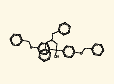 OC(CN(Cc1ccccc1)Cc1ccccc1)(c1ccc(OCc2ccccc2)cc1)c1ccc(OCc2ccccc2)cc1